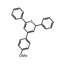 COc1ccc(C2=CC(c3ccccc3)SC(c3ccccc3)=C2)cc1